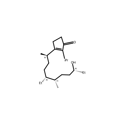 CC[C@@H](O)CC[C@H](C)[C@H](CC)CC[C@@H](C)C1=C(C(C)C)C(=O)CC1